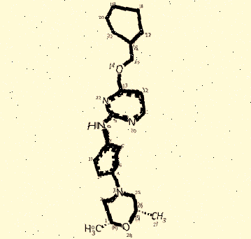 C[C@@H]1CN(c2ccc(Nc3nccc(OCC4CCCCC4)n3)cc2)C[C@H](C)O1